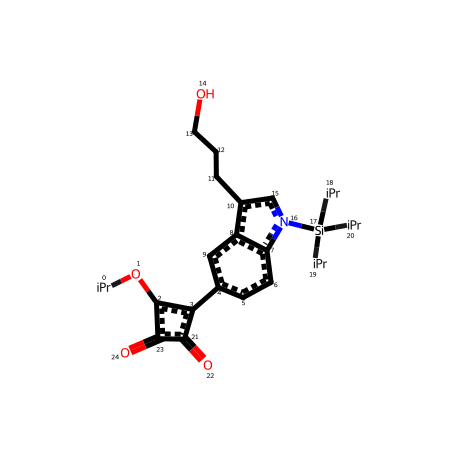 CC(C)Oc1c(-c2ccc3c(c2)c(CCCO)cn3[Si](C(C)C)(C(C)C)C(C)C)c(=O)c1=O